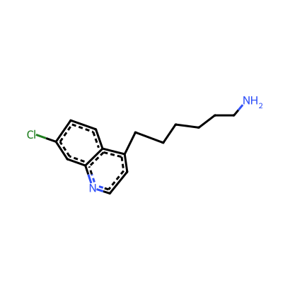 NCCCCCCc1ccnc2cc(Cl)ccc12